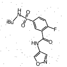 CCC(C)NS(=O)(=O)c1ccc(F)c(C(=O)Nc2cnoc2)c1